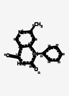 Cc1cc2c(cn1)c(=O)[nH]c(=O)n2-c1ccccc1